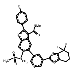 CNC(=O)c1c(-c2ccc(F)cc2)oc2cc(N(C)S(C)(=O)=O)c(-c3cncc(-c4nc5c(s4)CCCC5(F)F)c3)cc12